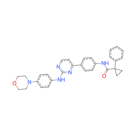 O=C(Nc1ccc(-c2ccnc(Nc3ccc(N4CCOCC4)cc3)n2)cc1)C1(c2ccccc2)CC1